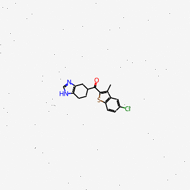 Cc1c(C(=O)C2CCc3[nH]cnc3C2)sc2ccc(Cl)cc12